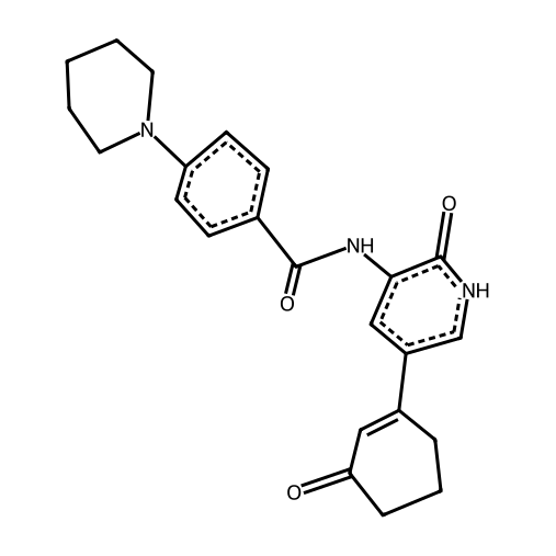 O=C1C=C(c2c[nH]c(=O)c(NC(=O)c3ccc(N4CCCCC4)cc3)c2)CCC1